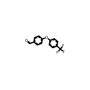 O=Cc1ccc(Oc2ccc(C(F)(F)F)cc2)cc1